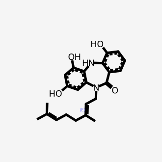 CC(C)=CCC/C(C)=C/CN1C(=O)c2cccc(O)c2Nc2c(O)cc(O)cc21